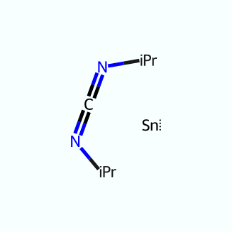 CC(C)N=C=NC(C)C.[Sn]